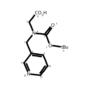 CC(C)(C)OC(=O)N(CC(=O)O)Cc1cccnc1